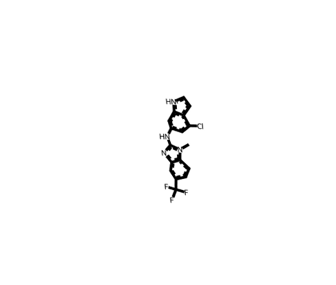 Cn1c(Nc2cc(Cl)c3cc[nH]c3c2)nc2cc(C(F)(F)F)ccc21